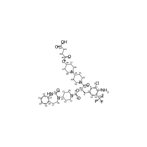 Nc1c(Cl)cc(C[C@@H](OC(=O)N2CCC(N3CCc4ccccc4NC3=O)CC2)C(=O)N2CCC(N3CCC(OC(=O)CCC(=O)O)CC3)CC2)cc1C(F)(F)F